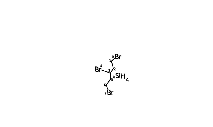 BrCCC(Br)CCBr.[SiH4]